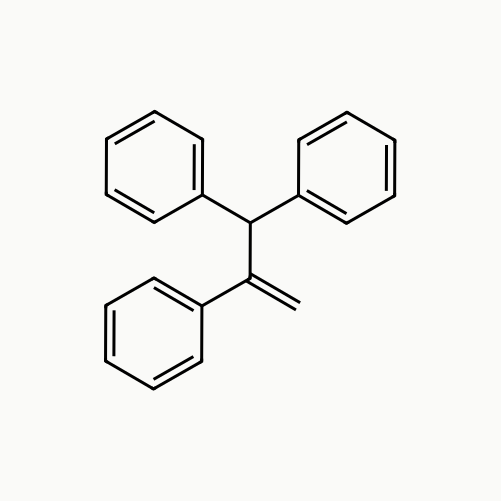 C=C(c1ccccc1)C(c1ccccc1)c1ccccc1